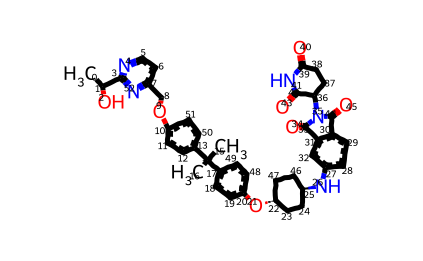 CC(O)c1nccc(COc2ccc(C(C)(C)c3ccc(O[C@H]4CC[C@H](Nc5ccc6c(c5)C(=O)N(C5CCC(=O)NC5=O)C6=O)CC4)cc3)cc2)n1